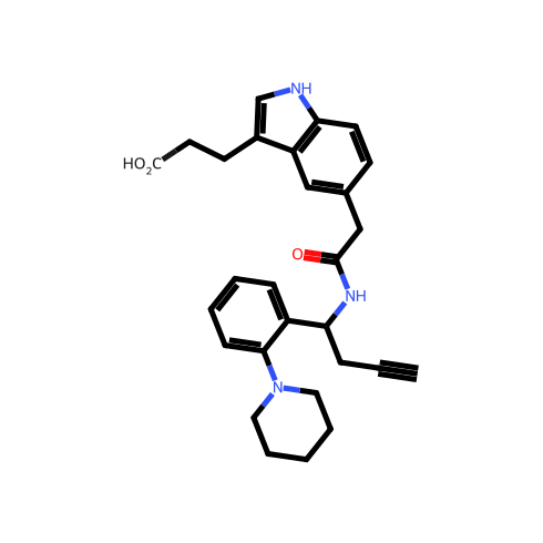 C#CCC(NC(=O)Cc1ccc2[nH]cc(CCC(=O)O)c2c1)c1ccccc1N1CCCCC1